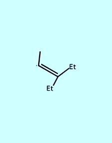 C[C]=C(CC)CC